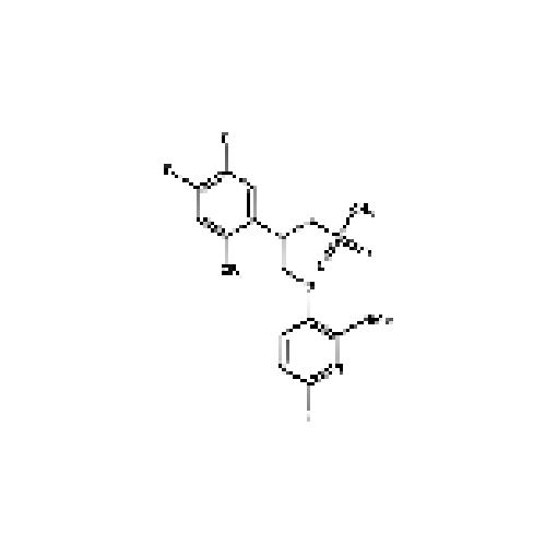 CNc1nc(Cl)ncc1OCC(OS(C)(=O)=O)c1cc(F)c(F)cc1C(F)(F)F